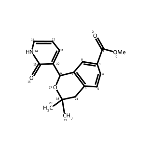 COC(=O)c1ccc2c(c1)C(c1ccc[nH]c1=O)OC(C)(C)C2